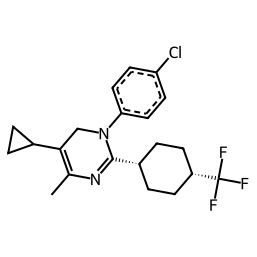 CC1=C(C2CC2)CN(c2ccc(Cl)cc2)C([C@H]2CC[C@@H](C(F)(F)F)CC2)=N1